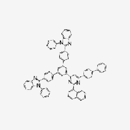 c1ccc(-c2ccc(-c3cc(-c4cc(-c5ccc(-c6nc7ccccc7n6-c6ccccc6)cc5)cc(-c5ccc(-c6nc7ccccc7n6-c6ccccc6)cc5)c4)nc(-c4cccc5ccccc45)n3)cc2)cc1